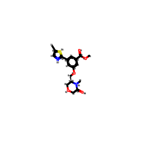 COC(=O)c1cc(OC[C@H]2COCC(=O)N2C)cc(-c2ncc(C)s2)c1